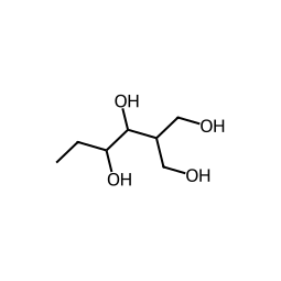 CCC(O)C(O)C(CO)CO